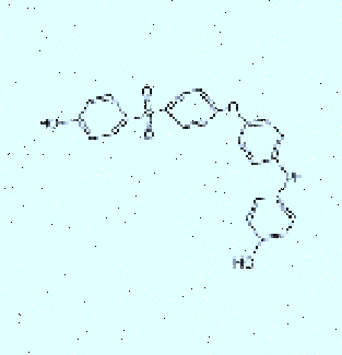 O=S(=O)(c1ccc(O)cc1)c1ccc(Oc2ccc(Pc3ccc(O)cc3)cc2)cc1